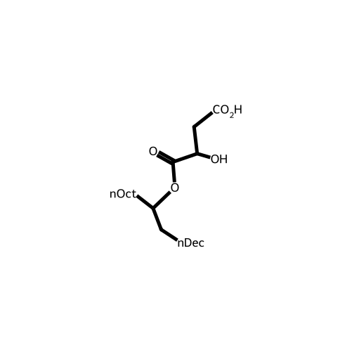 CCCCCCCCCCCC(CCCCCCCC)OC(=O)C(O)CC(=O)O